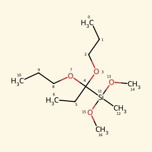 CCCOC(CC)(OCCC)[Si](C)(OC)OC